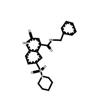 O=C(NCc1ccccc1)c1cc(=O)[nH]c2ccc(S(=O)(=O)N3CCCCC3)cc12